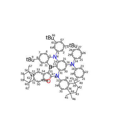 CC(C)(C)c1cc(N2c3ccc(C(C)(C)C)cc3B3c4c2cc(N(c2ccccc2)c2ccccc2)cc4N(c2ccc4c(c2)C(C)(C)CCC4(C)C)c2oc4cc5c(cc4c23)C2(C)CCC5(C)CC2)cc(C(C)(C)C)c1